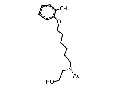 CC(=O)N(CCO)CCCCCCOc1ccccc1C